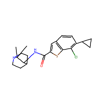 CC1(C)C(NC(=O)c2cc3ccc(C4CC4)c(Cl)c3s2)C2CCN1CC2